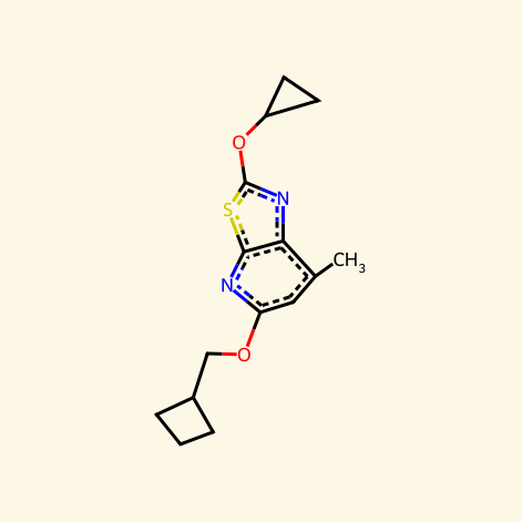 Cc1cc(OCC2CCC2)nc2sc(OC3CC3)nc12